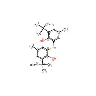 CCCCCC(C)(C)c1cc(C)cc(Sc2cc(C)cc(C(C)(C)CCCCC)c2O)c1O